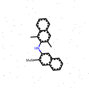 CNc1cc2ccccc2cc1Nc1c(C)cc2ccccc2c1C